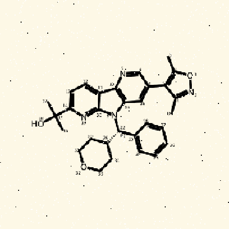 Cc1noc(C)c1-c1cnc2c3ccc(C(C)(C)O)nc3n([C@H](c3ccccc3)C3CCOCC3)c2c1